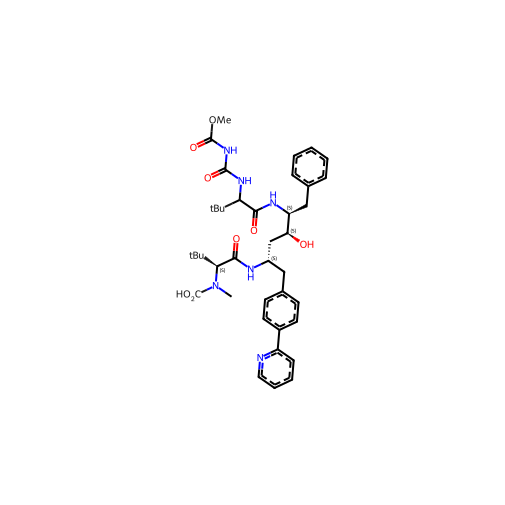 COC(=O)NC(=O)NC(C(=O)N[C@@H](Cc1ccccc1)[C@@H](O)C[C@H](Cc1ccc(-c2ccccn2)cc1)NC(=O)[C@@H](N(C)C(=O)O)C(C)(C)C)C(C)(C)C